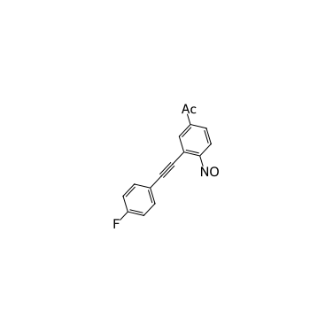 CC(=O)c1ccc(N=O)c(C#Cc2ccc(F)cc2)c1